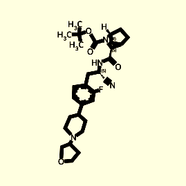 CC(C)(C)OC(=O)N1[C@@H]2CCC(C2)[C@H]1C(=O)N[C@H](C#N)Cc1ccc(C2CCN(C3CCOC3)CC2)cc1F